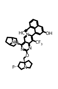 C#Cc1cccc2cc(O)cc(-c3ncc4c(N5CC6CCC(C5)N6)nc(OC[C@@]56CCCN5C[C@H](F)C6)nc4c3C(F)(F)F)c12